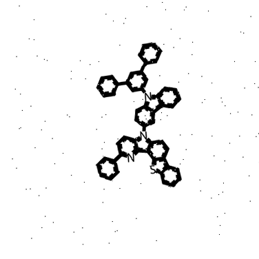 c1ccc(-c2cc(-c3ccccc3)cc(-n3c4ccccc4c4cc(-n5c6ccc(-c7ccccc7)nc6c6c7sc8ccccc8c7ccc65)ccc43)c2)cc1